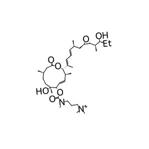 CC[C@H](O)[C@@H](C)[C@H]1O[C@@H]1C[C@H](C)/C=C/C=C(\C)[C@H]1OC(=O)C[C@H](C)CC[C@@](C)(O)[C@@H](OC(=O)N(C)CCC[N+](C)(C)C)/C=C/[C@@H]1C